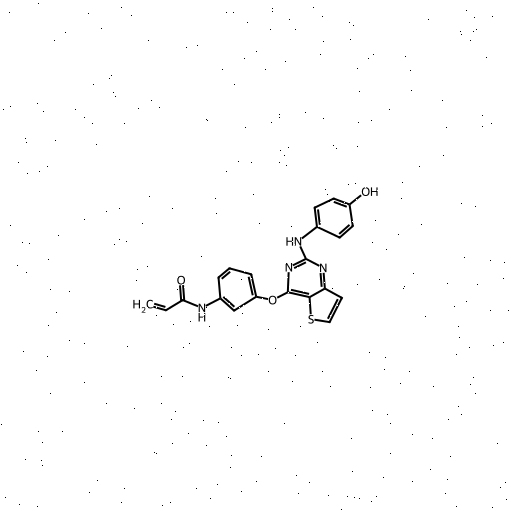 C=CC(=O)Nc1cccc(Oc2nc(Nc3ccc(O)cc3)nc3ccsc23)c1